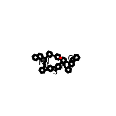 c1ccc(-c2cccc(-c3nc(-n4c5ccccc5c5cc6sc7cc8c(cc7c6cc54)c4cccc(-c5cccc6c5oc5ccccc56)c4n8-c4ccccc4)nc4c3ccc3ccccc34)c2)cc1